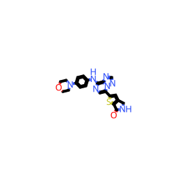 O=C1NCc2cc(-c3cnc(Nc4ccc(N5CCOCC5)cc4)c4ncnn34)sc21